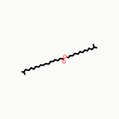 CC(C)CCCCCCCCCCCCCCCC(=O)OCCCCCCCCCCCC(C)C